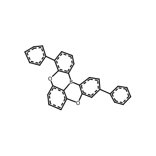 c1ccc(-c2ccc3c(c2)Oc2cccc4c2B3c2cccc(-c3ccccc3)c2O4)cc1